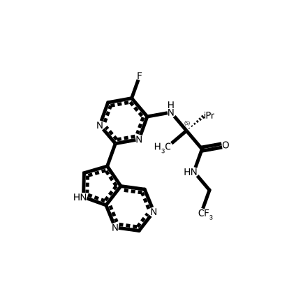 CC(C)[C@](C)(Nc1nc(-c2c[nH]c3ncncc23)ncc1F)C(=O)NCC(F)(F)F